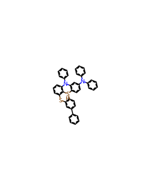 c1ccc(-c2ccc3c(c2)Sc2cccc4c2[SH]3c2ccc(N(c3ccccc3)c3ccccc3)cc2N4c2ccccc2)cc1